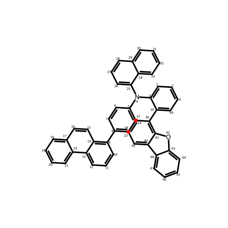 c1ccc(N(c2ccc(-c3cccc4c3ccc3ccccc34)cc2)c2cccc3ccccc23)c(-c2cccc3c2oc2ccccc23)c1